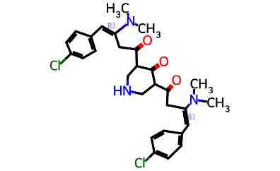 CN(C)/C(=C/c1ccc(Cl)cc1)CC(=O)C1CNCC(C(=O)C/C(=C\c2ccc(Cl)cc2)N(C)C)C1=O